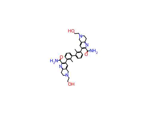 Cc1c(-c2cc3c(nc2C(N)=O)CCN(CCO)C3)cccc1-c1cccc(-c2cc3c(nc2C(N)=O)CCN(CCO)C3)c1C